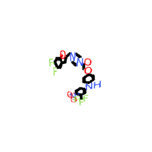 O=C(CO[C@H]1CC[C@H](Nc2ccc([N+](=O)[O-])c(C(F)(F)F)c2)CC1)N1CCN(Cc2cc3cc(F)c(F)cc3o2)CC1